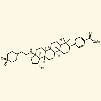 COC(=O)c1ccc([C@H]2CC[C@]3(C)[C@H]4CC[C@@H]5[C@H]6[C@H](C(C)C)CC[C@]6(NCCN6CCS(=O)(=O)CC6)CC[C@@]5(C)[C@]4(C)CC[C@H]3C2(C)C)cc1